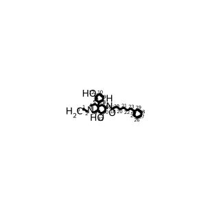 C=CCN1CCC2(c3cccc(O)c3)CC(NC(=O)CCCCCc3ccccc3)CC(O)C2C1